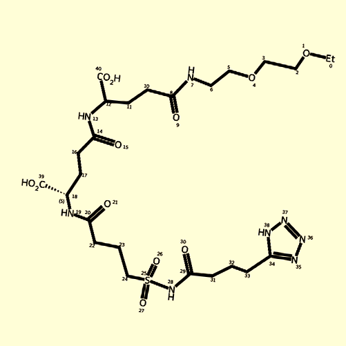 CCOCCOCCNC(=O)CCC(NC(=O)CC[C@H](NC(=O)CCCS(=O)(=O)NC(=O)CCCc1nnn[nH]1)C(=O)O)C(=O)O